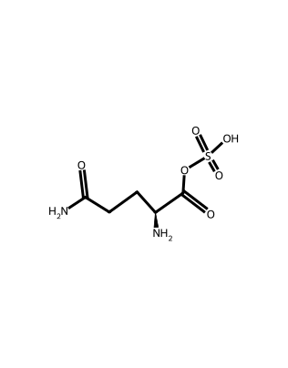 NC(=O)CC[C@H](N)C(=O)OS(=O)(=O)O